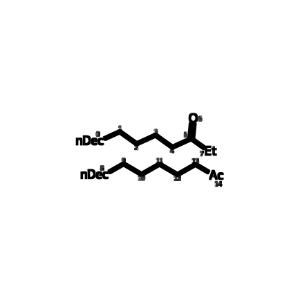 CCCCCCCCCCCCCCC(=O)CC.CCCCCCCCCCCCCCCC(C)=O